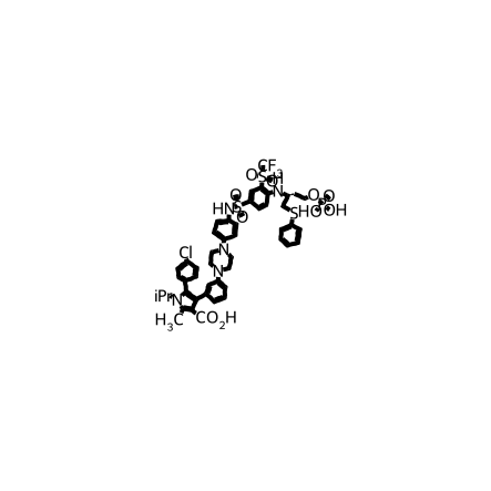 Cc1c(C(=O)O)c(-c2cccc(N3CCN(c4ccc(NS(=O)(=O)c5ccc(N[C@H](CCOP(=O)(O)O)CSc6ccccc6)c(S(=O)(=O)C(F)(F)F)c5)cc4)CC3)c2)c(-c2ccc(Cl)cc2)n1C(C)C